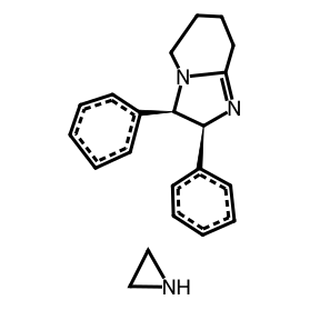 C1CN1.c1ccc([C@@H]2[C@H](c3ccccc3)N=C3CCCCN32)cc1